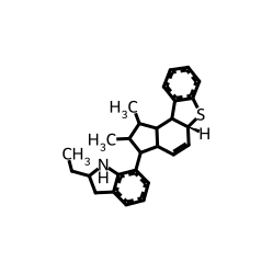 CCC1Cc2cccc(C3C(C)C(C)C4C3C=C[C@H]3Sc5ccccc5C43)c2N1